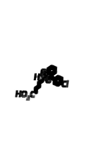 O=C(O)CCCCCNS(=O)(=O)c1ccccc1C(=O)c1ccc(Cl)cc1